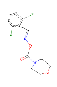 O=C(ON=Cc1c(F)cccc1F)N1CCOCC1